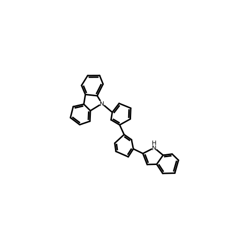 c1cc(-c2cccc(-n3c4ccccc4c4ccccc43)c2)cc(-c2cc3ccccc3[nH]2)c1